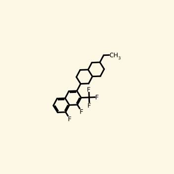 CCC1CCC2CC(c3cc4cccc(F)c4c(F)c3C(F)(F)F)CCC2C1